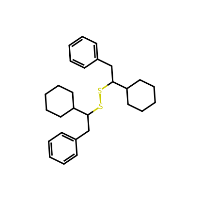 c1ccc(CC(SSC(Cc2ccccc2)C2CCCCC2)C2CCCCC2)cc1